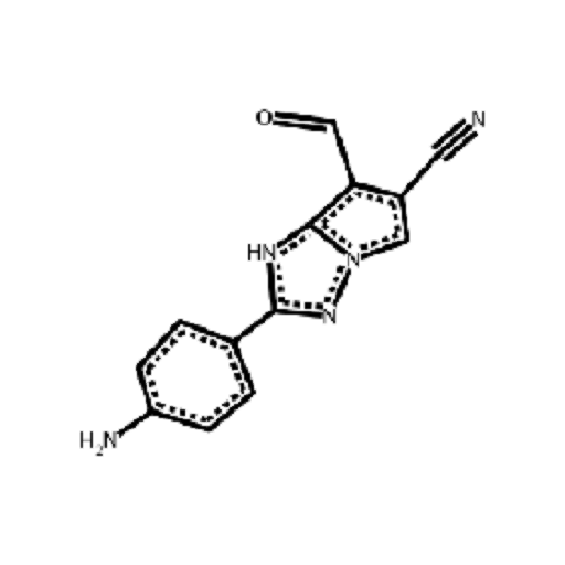 N#Cc1cn2nc(-c3ccc(N)cc3)[nH]c2c1C=O